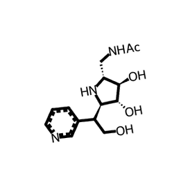 CC(=O)NC[C@H]1N[C@H](C(CO)c2cccnc2)[C@@H](O)[C@@H]1O